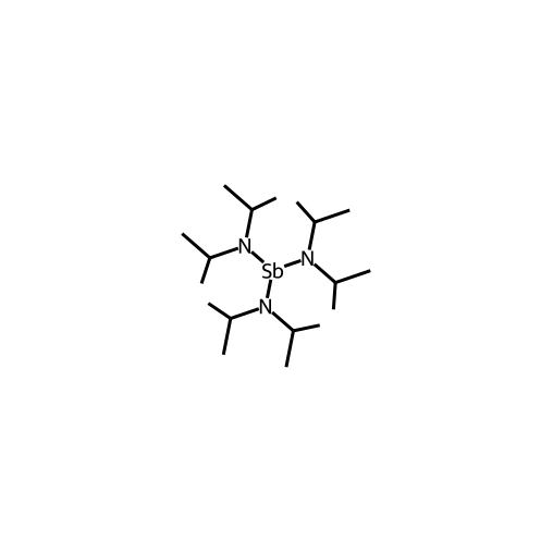 CC(C)[N](C(C)C)[Sb]([N](C(C)C)C(C)C)[N](C(C)C)C(C)C